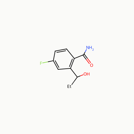 CCC(O)c1cc(F)ccc1C(N)=O